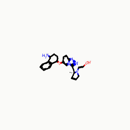 C[C@@]1(c2nnc3ccc(OC4CCC(N)c5ccccc54)cn23)CCCN1CCO